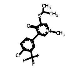 CC(C)Sc1cn(C)cc(-c2ccc(Cl)c(C(F)(F)F)c2)c1=O